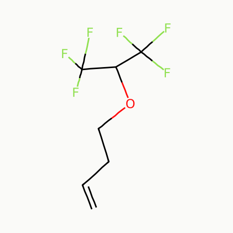 C=CCCOC(C(F)(F)F)C(F)(F)F